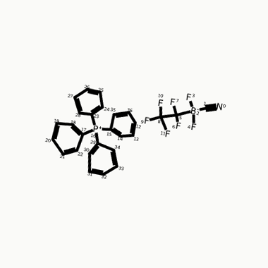 N#C[B-](F)(F)C(F)(F)C(F)(F)F.c1ccc([P+](c2ccccc2)(c2ccccc2)c2ccccc2)cc1